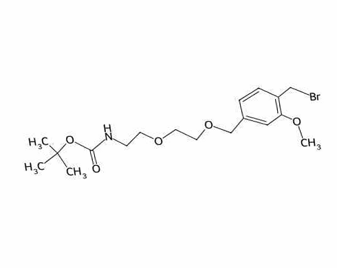 COc1cc(COCCOCCNC(=O)OC(C)(C)C)ccc1CBr